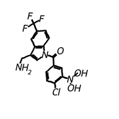 NCc1cn(C(=O)c2ccc(Cl)c(N(O)O)c2)c2ccc(C(F)(F)F)cc12